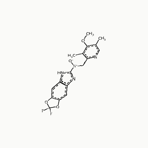 COc1c(C)cnc(C[S+]([O-])c2nc3cc4c(cc3[nH]2)OC(F)(F)O4)c1C